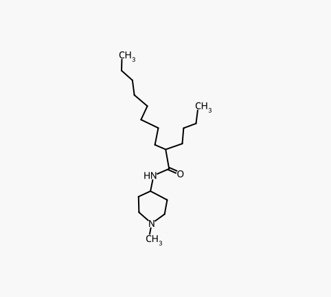 CCCCCCCCC(CCCC)C(=O)NC1CCN(C)CC1